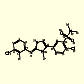 Cc1c(Cl)cccc1N=c1scc(-c2ccc(Cl)c(S(=O)(=O)N(C)C)c2)n1C